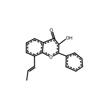 CC=Cc1cccc2c(=O)c(O)c(-c3ccccc3)oc12